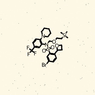 C[Si](C)(C)CCOCN(c1cc(C(F)(F)F)ccc1N1CCCCC1)S(=O)(=O)c1cc(Br)ccc1C1CCO1